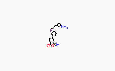 Cc1ccc(-c2ccc3c(c2)C2(CN(C)C2)OC3=O)cc1/P=C\CCC1CCC(N)C1